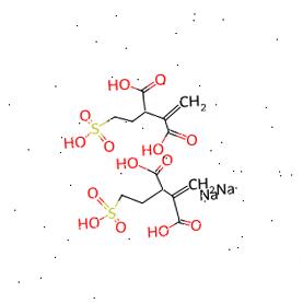 C=C(C(=O)O)C(CCS(=O)(=O)O)C(=O)O.C=C(C(=O)O)C(CCS(=O)(=O)O)C(=O)O.[Na].[Na]